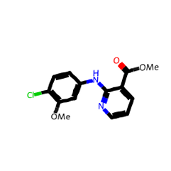 COC(=O)c1cccnc1Nc1ccc(Cl)c(OC)c1